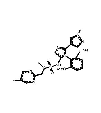 COc1cccc(OC)c1-n1c(NS(=O)(=O)[C@H](C)Cc2ncc(F)cn2)nnc1-c1cnn(C)c1